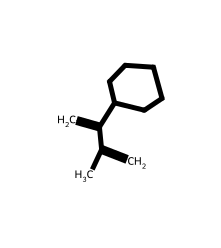 C=C(C)C(=C)C1CCCCC1